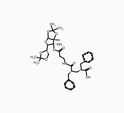 CC1(C)OC[C@H]([C@H]2OC3OC(C)(C)O[C@@H]3[C@@]2(O)OC(=O)CCNC(=O)[C@H](Cc2ccccc2)C[C@@H](Cc2ccccc2)C(=O)O)O1